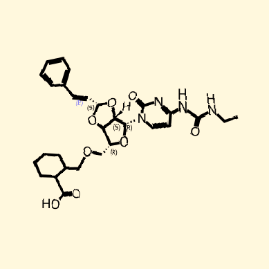 CCNC(=O)Nc1ccn([C@@H]2O[C@H](COCC3CCCCC3C(=O)O)C3O[C@H](/C=C/c4ccccc4)O[C@@H]32)c(=O)n1